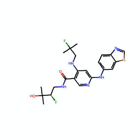 CC(C)(F)CNc1cc(Nc2ccc3ncsc3c2)ncc1C(=O)NC[C@@H](F)C(C)(C)O